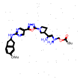 COc1ccc2c(c1)CC(Nc1ncc(-c3nnc(N4CCC(/C(N)=C/N(N)COC(=O)C(C)(C)C)C4)o3)cn1)C2